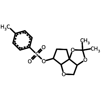 Cc1ccc(S(=O)(=O)OC2CCC34OC(C)(C)OC3COC24)cc1